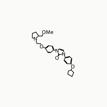 COCC1CCCN1CCOc1ccc(-n2ccn(-c3ccc(OC4CCCC4)cc3)c2=O)cc1